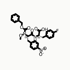 CON(C(=O)OCc1ccccc1)[C@@H](Cc1ccc([N+](=O)[O-])cc1)C(=O)N[C@@H](Cc1ccc(F)cc1)C(=O)O